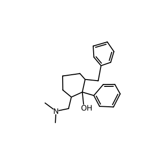 CN(C)CC1CCCC(Cc2ccccc2)C1(O)c1ccccc1